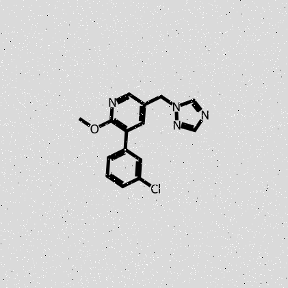 COc1ncc(Cn2cncn2)cc1-c1cccc(Cl)c1